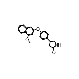 COc1cc(Oc2ccc(C3CNC(=O)C3)cc2)cc2ccccc12